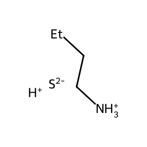 CCCC[NH3+].[H+].[S-2]